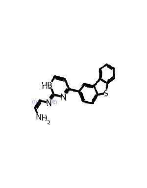 N/C=C\N=C1/BC=CC(c2ccc3sc4ccccc4c3c2)=N1